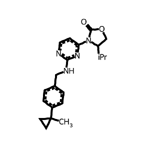 CC(C)C1COC(=O)N1c1ccnc(NCc2ccc(C3(C)CC3)cc2)n1